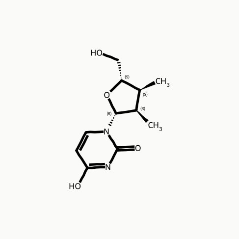 C[C@@H]1[C@H](C)[C@@H](CO)O[C@H]1n1ccc(O)nc1=O